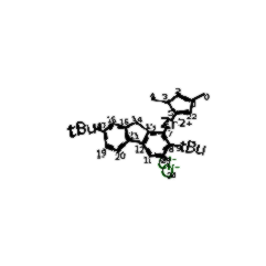 CC1=CC(C)[C]([Zr+2][c]2c(C(C)(C)C)ccc3c2Cc2cc(C(C)(C)C)ccc2-3)=C1.[Cl-].[Cl-]